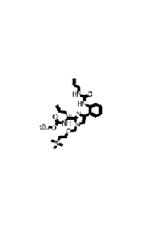 C=CCNC(=O)Nc1ccccc1-c1cn(COCC[Si](C)(C)C)c([C@H](CC=C)NC(=O)OC(C)(C)C)n1